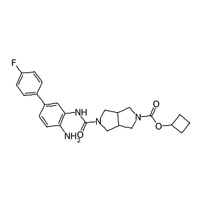 Nc1ccc(-c2ccc(F)cc2)cc1NC(=O)N1CC2CN(C(=O)OC3CCC3)CC2C1